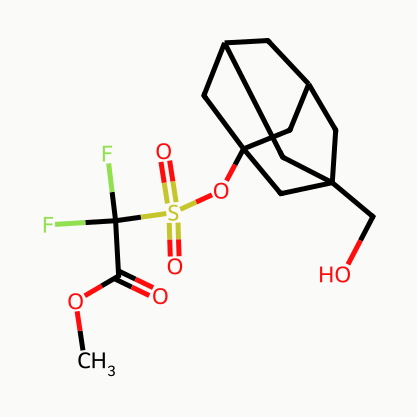 COC(=O)C(F)(F)S(=O)(=O)OC12CC3CC(CC(CO)(C3)C1)C2